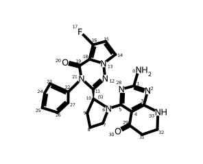 Nc1nc2c(c(N3CCC[C@H]3c3nn4ccc(F)c4c(=O)n3-c3ccccc3)n1)C(=O)CCN2